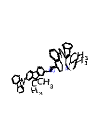 C/C=C\c1c(C)c2ccccc2n1-c1cccc2c(/C=C/c3ccc4c(c3)C(C)(C)c3cc(-n5c6c(c7ccccc75)C=CCC6)ccc3-4)cccc12